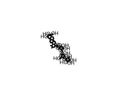 CC1CC(C(=O)O[C@@H]2OC(CO[C@@H]3OC(CO)C(O[C@H]4OC(C)C(O)[C@H](O)[C@@H]4O)[C@@H](O)[C@@H]3O)C(O)[C@@H](O)[C@@H]2O)C2CCC3(C)C(=CCC4C3CCC3C(C)(CO)C(O)C(O)CC43C)C2C1C